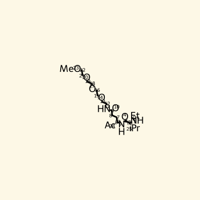 CCN[C@H](C(=O)N[C@@H](CCC(=O)NCCOCCOCCOCCOC)C(C)=O)C(C)C